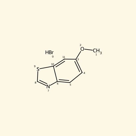 Br.COc1ccc2ncsc2c1